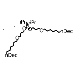 CCCCCCCCCCCCCCCCOCCCOP(OCCCOCCCCCCCCCCCCCCCC)N(C(C)C)C(C)C